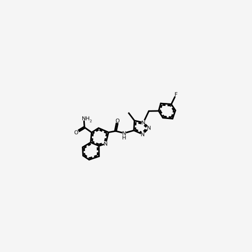 Cc1c(NC(=O)c2cc(C(N)=O)c3ccccc3n2)nnn1Cc1cccc(F)c1